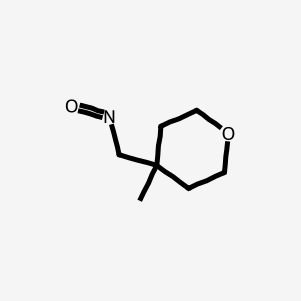 CC1(CN=O)CCOCC1